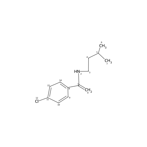 C=C(NCCC(C)C)c1ccc(Cl)cc1